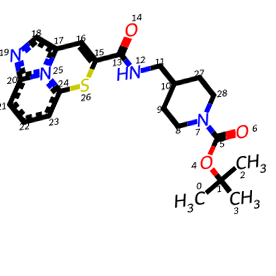 CC(C)(C)OC(=O)N1CCC(CNC(=O)C2=Cc3cnc4cccc(n34)S2)CC1